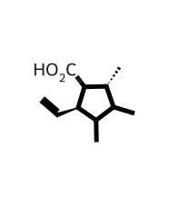 C=C[C@@H]1C(C)C(C)[C@@H](C)C1C(=O)O